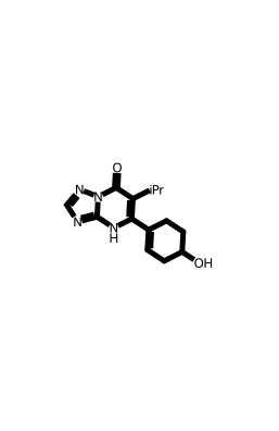 CC(C)c1c(C2=CCC(O)CC2)[nH]c2ncnn2c1=O